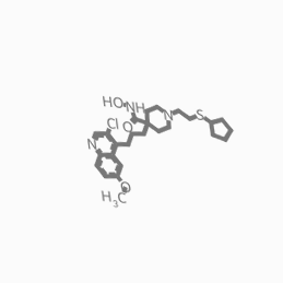 COc1ccc2ncc(Cl)c(CCCC3(C(=O)NO)CCN(CCSC4CCCC4)CC3)c2c1